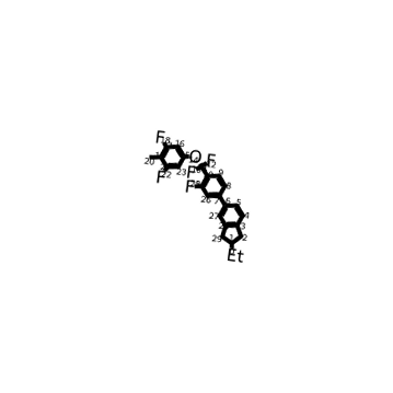 CCC1Cc2ccc(-c3ccc(C(F)(F)Oc4cc(F)c(C)c(F)c4)c(F)c3)cc2C1